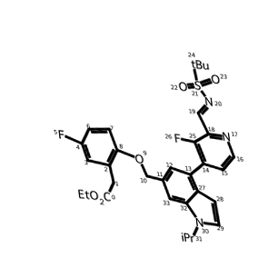 CCOC(=O)Cc1cc(F)ccc1OCc1cc(-c2ccnc(C=NS(=O)(=O)C(C)(C)C)c2F)c2ccn(C(C)C)c2c1